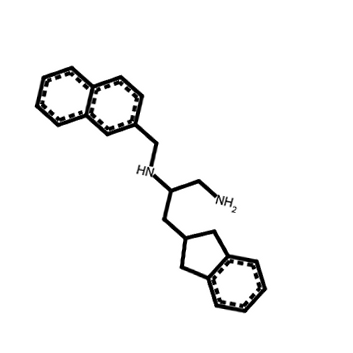 NCC(CC1Cc2ccccc2C1)NCc1ccc2ccccc2c1